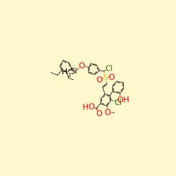 CCc1cccc([SiH2]Oc2ccc(C(Cl)S(=O)(=O)C=Cc3cc(C(=O)O)c(OC)c(Cl)c3-c3ccccc3O)cc2)c1CC